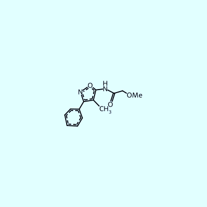 COCC(=O)Nc1onc(-c2ccccc2)c1C